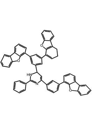 C1=C(c2cccc(-c3cccc4c3oc3ccccc34)c2)N=C(c2ccccc2)NC1c1cc(C2=CCCc3c2oc2ccccc32)cc(-c2cccc3c2oc2ccccc23)c1